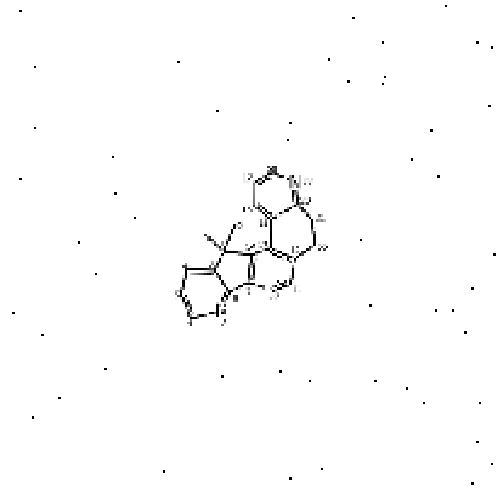 CC1(C)c2cccnc2-c2ccc3c(c21)-c1cccnc1CC3